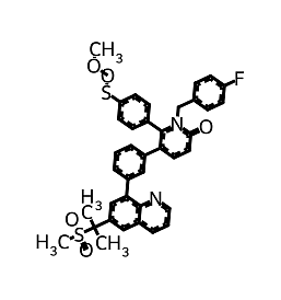 COOSc1ccc(-c2c(-c3cccc(-c4cc(C(C)(C)S(C)(=O)=O)cc5cccnc45)c3)ccc(=O)n2Cc2ccc(F)cc2)cc1